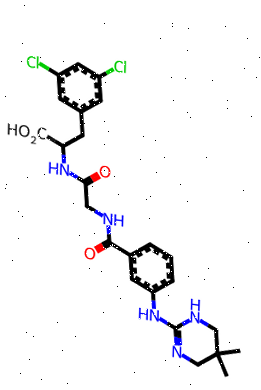 CC1(C)CN=C(Nc2cccc(C(=O)NCC(=O)NC(Cc3cc(Cl)cc(Cl)c3)C(=O)O)c2)NC1